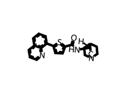 O=C(N[C@H]1CN2CCC1CC2)c1ccc(-c2cccc3cccnc23)s1